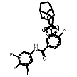 O=C(Nc1cc(F)c(F)c(F)c1)c1ccc(Cl)c(S(=O)(=O)C2CC3CCC(C2)C3(O)Cc2nnn[nH]2)c1